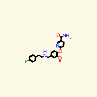 COc1cc(CNCCc2ccc(F)cc2)ccc1Oc1ccc(C(N)=O)cn1